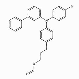 O=COCCCc1ccc(N(c2ccc(Br)cc2)c2cccc(-c3ccccc3)c2)cc1